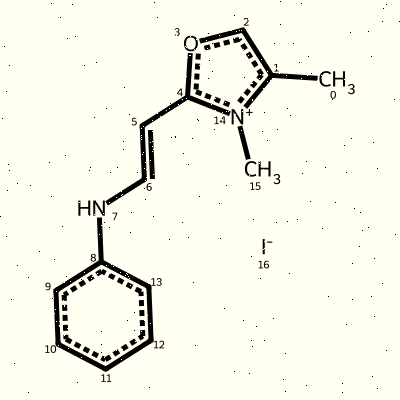 Cc1coc(/C=C/Nc2ccccc2)[n+]1C.[I-]